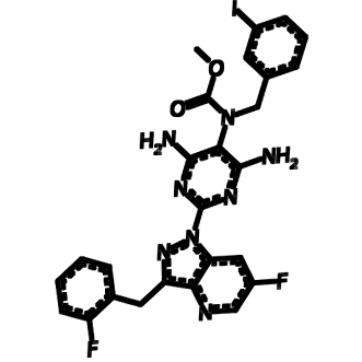 COC(=O)N(Cc1cccc(I)c1)c1c(N)nc(-n2nc(Cc3ccccc3F)c3ncc(F)cc32)nc1N